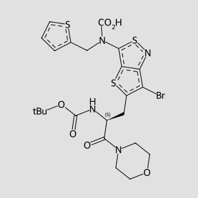 CC(C)(C)OC(=O)N[C@@H](Cc1sc2c(N(Cc3cccs3)C(=O)O)snc2c1Br)C(=O)N1CCOCC1